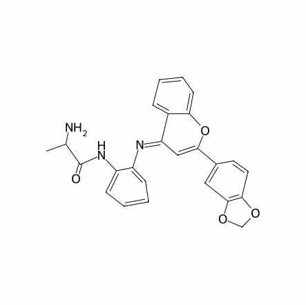 CC(N)C(=O)Nc1ccccc1N=c1cc(-c2ccc3c(c2)OCO3)oc2ccccc12